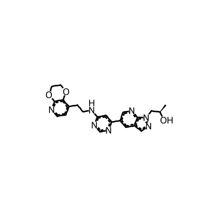 C[C@@H](O)Cn1ncc2cc(-c3cc(NCCc4ccnc5c4OCCO5)ncn3)cnc21